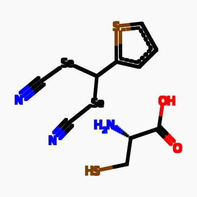 N#C[Se]C([Se]C#N)c1cccs1.N[C@@H](CS)C(=O)O